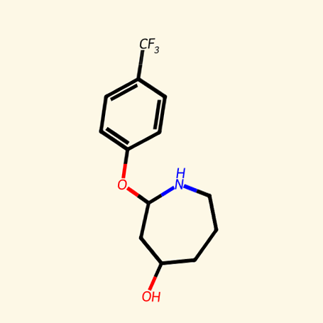 OC1CCCNC(Oc2ccc(C(F)(F)F)cc2)C1